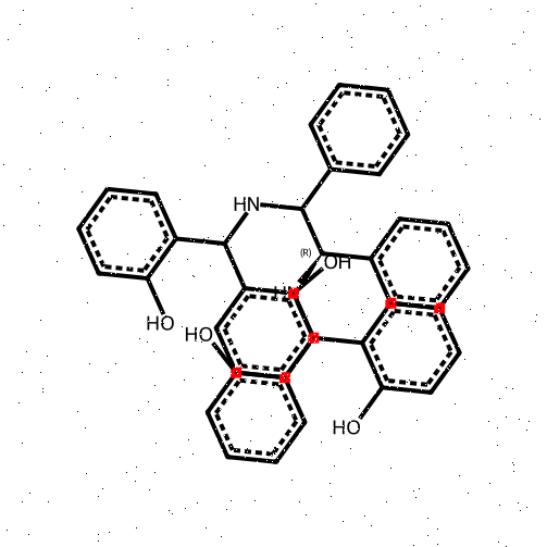 Oc1ccccc1C(NC(c1ccccc1)[C@H](NC(c1ccccc1O)c1ccccc1O)c1ccccc1)c1ccccc1O